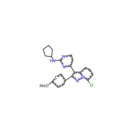 COc1ccc(-c2nn3c(Cl)cccc3c2-c2ccnc(NC3CCCC3)n2)cc1